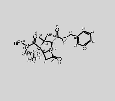 CCCN(CCC)C(=O)[S@]1(CO)[C@@H]2CC(=O)N2[C@@H](C(=O)OCc2ccccc2)C1(C)C